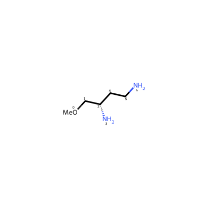 COC[C@@H](N)CCN